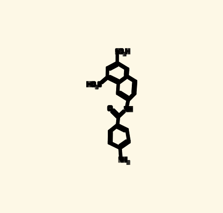 Nc1ccc(C(=O)Nc2ccc3cc(S(=O)(=O)O)cc(S(=O)(=O)O)c3c2)cc1